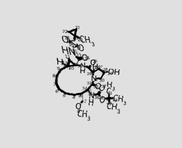 COC[C@@H]1CCCCCC[C@@H]2C[C@@]2(C(=O)NS(=O)(=O)C2(C)CC2)NC(=O)[C@@H]2C[C@@H](O)CN2C(=O)[C@H]1NC(=O)OC(C)(C)C